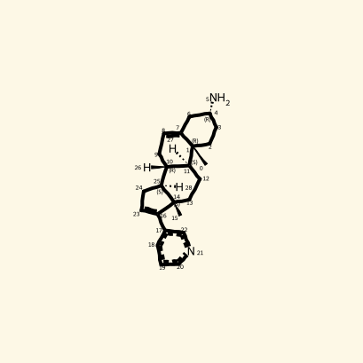 C[C@]12CC[C@@H](N)CC1=CC[C@@H]1[C@@H]2CC[C@]2(C)C(c3cccnc3)=CC[C@@H]12